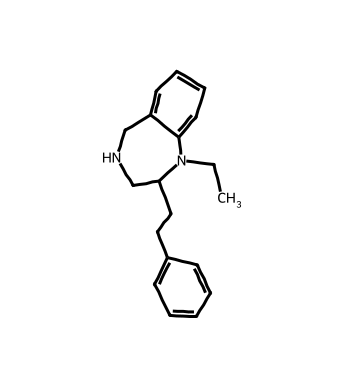 CCN1c2ccccc2CNCC1CCc1ccccc1